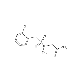 CN(CC(N)=S)S(=O)(=O)Cc1ccccc1Cl